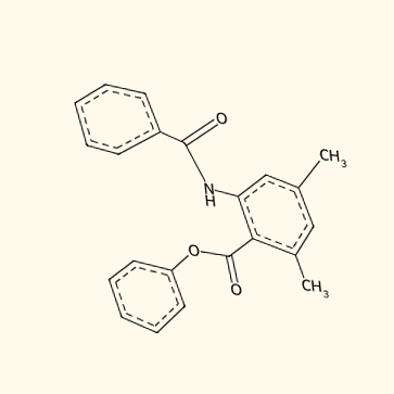 Cc1cc(C)c(C(=O)Oc2ccccc2)c(NC(=O)c2ccccc2)c1